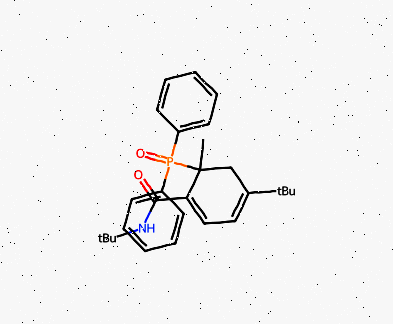 CC(C)(C)NC(=O)C1=CC=C(C(C)(C)C)CC1(C)P(=O)(c1ccccc1)c1ccccc1